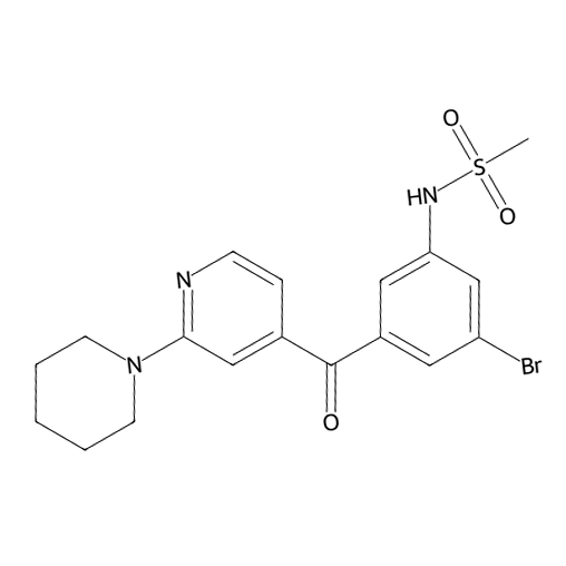 CS(=O)(=O)Nc1cc(Br)cc(C(=O)c2ccnc(N3CCCCC3)c2)c1